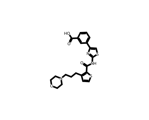 O=C(O)c1cccc(-c2csc(NC(=O)c3sccc3CCCN3CCOCC3)n2)c1